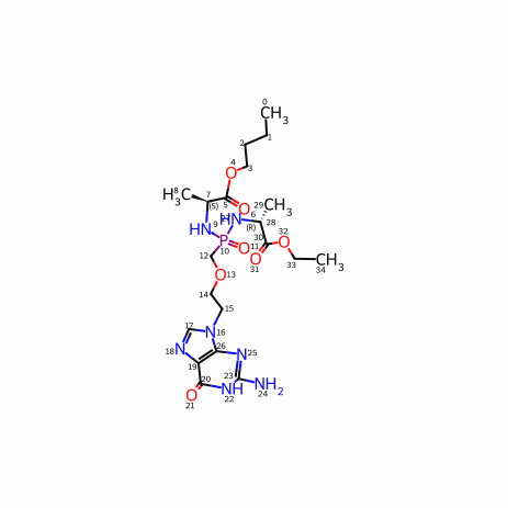 CCCCOC(=O)[C@H](C)NP(=O)(COCCn1cnc2c(=O)[nH]c(N)nc21)N[C@H](C)C(=O)OCC